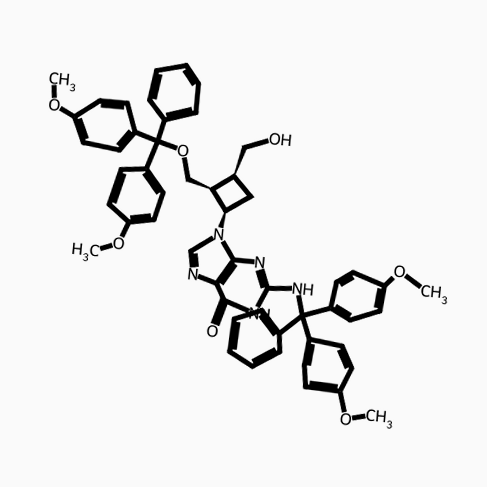 COc1ccc(C(Nc2nc3c(ncn3[C@@H]3C[C@H](CO)[C@@H]3COC(c3ccccc3)(c3ccc(OC)cc3)c3ccc(OC)cc3)c(=O)[nH]2)(c2ccccc2)c2ccc(OC)cc2)cc1